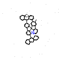 Cc1cc2c(cc1C)C1(c3cc(-c4c5ccccc5cc5ccccc45)ccc3-c3ccc(-c4c5ccccc5cc5ccccc45)cc31)c1ncccc1-2